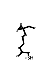 CCC1(CCCCC(C)CS)CC1